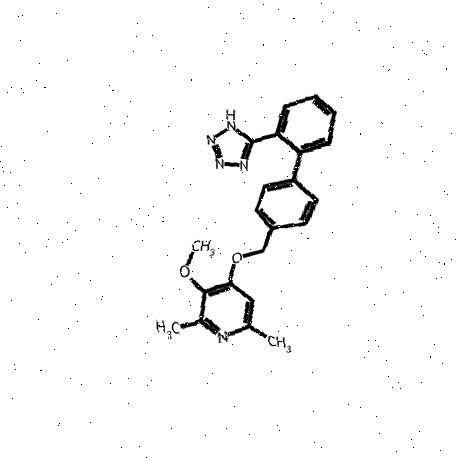 COc1c(OCc2ccc(-c3ccccc3-c3nnn[nH]3)cc2)cc(C)nc1C